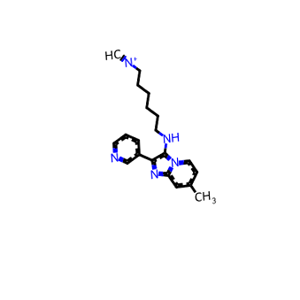 C#[N+]CCCCCCNc1c(-c2cccnc2)nc2cc(C)ccn12